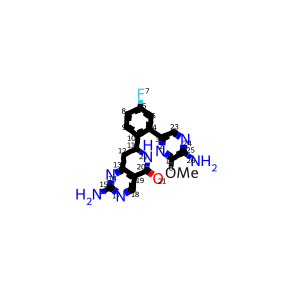 COc1nc(-c2cc(F)ccc2C2Cc3nc(N)ncc3C(=O)N2)cnc1N